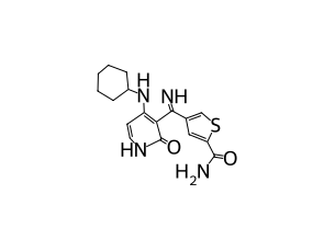 N=C(c1csc(C(N)=O)c1)c1c(NC2CCCCC2)cc[nH]c1=O